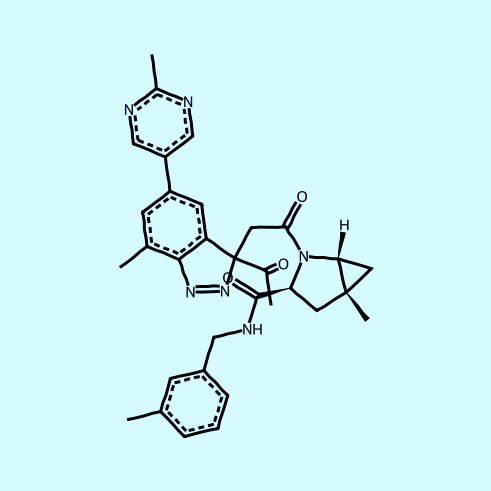 CC(=O)C1(CC(=O)N2[C@H](C(=O)NCc3cccc(C)c3)C[C@@]3(C)C[C@@H]23)N=Nc2c(C)cc(-c3cnc(C)nc3)cc21